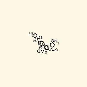 COc1cc(-n2ccc(NC(=O)N3CCNCC3)nc2=O)ccc1CN(CC1CC1)[C@H]1CC[C@H](N)CC1